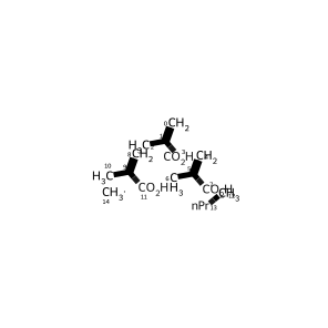 C=C(C)C(=O)O.C=C(C)C(=O)O.C=C(C)C(=O)O.CCCC.[CH3]